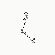 CC(C)C(=O)CCCCCOC(=O)NCCCCCC(=O)Nc1ccccc1